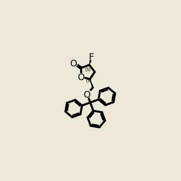 O=C1O[C@H](COC(c2ccccc2)(c2ccccc2)c2ccccc2)C[C@@H]1F